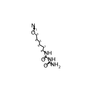 N#COCCCCCCNC(=O)NC(N)=O